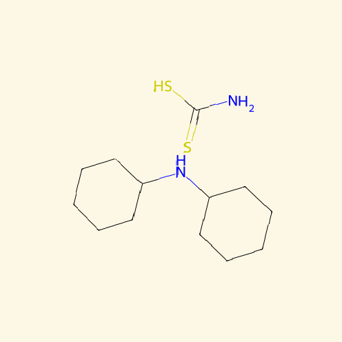 C1CCC(NC2CCCCC2)CC1.NC(=S)S